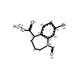 COC(=O)C1CCCN(C=O)c2cc(Br)ccc21